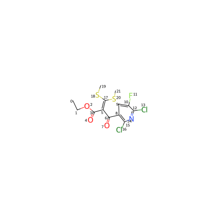 CCOC(=O)C(C(=O)c1cc(F)c(Cl)nc1Cl)=C(SC)SC